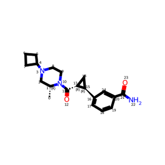 C[C@@H]1CN(C2CCC2)CCN1C(=O)[C@@H]1C[C@H]1c1cccc(C(N)=O)c1